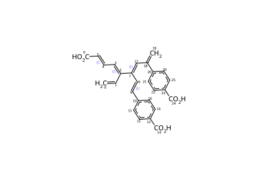 C=CC(=C\C=C\C(=O)O)/C(/C=C/c1ccc(C(=O)O)cc1)=C/C(=C)c1ccc(C(=O)O)cc1